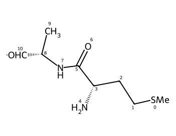 CSCC[C@H](N)C(=O)N[C@@H](C)[C]=O